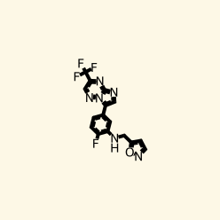 Fc1ccc(-c2cnc3nc(C(F)(F)F)cnn23)cc1NCc1ccno1